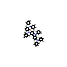 Cc1cc(C)c(N2c3cc4c5ccc(N(c6ccccc6)c6ccccc6)cc5n(-c5ccccc5)c4cc3B3c4ccccc4N(c4ccccc4)c4cccc2c43)c(C)c1